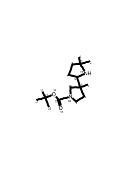 CC1(C)CCC(C2(C)CCN(C(=O)OC(C)(C)C)C2)N1